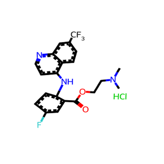 CN(C)CCOC(=O)c1cc(F)ccc1Nc1ccnc2cc(C(F)(F)F)ccc12.Cl